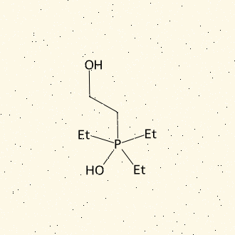 CCP(O)(CC)(CC)CCO